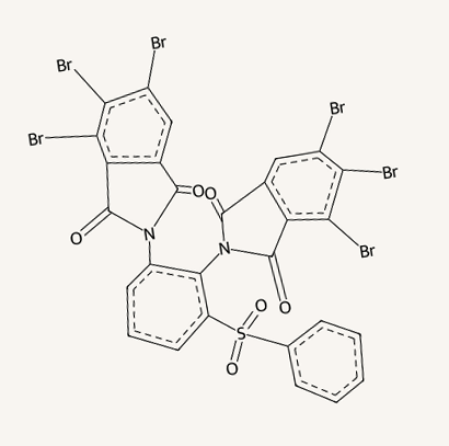 O=C1c2cc(Br)c(Br)c(Br)c2C(=O)N1c1cccc(S(=O)(=O)c2ccccc2)c1N1C(=O)c2cc(Br)c(Br)c(Br)c2C1=O